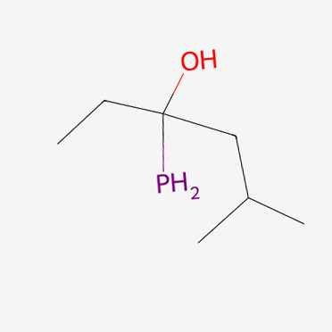 CCC(O)(P)CC(C)C